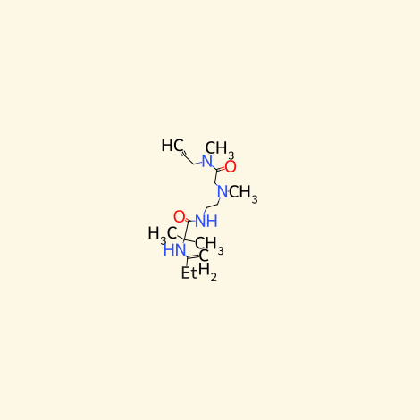 C#CCN(C)C(=O)CN(C)CCNC(=O)C(C)(C)NC(=C)CC